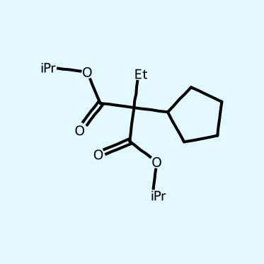 CCC(C(=O)OC(C)C)(C(=O)OC(C)C)C1CCCC1